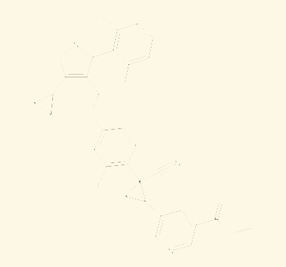 COC(=O)c1cncc(C2CC2(C#N)c2ccc(OCc3c(-c4c(Cl)cccc4Cl)noc3C3CC3)cc2Cl)c1